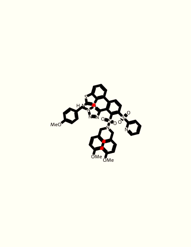 COc1ccc(CN(Cc2ccc(OC)cc2)S(=O)(=O)c2c(S(=O)(=O)c3ccccn3)ccc(-c3cccc4sc(N)nc34)c2-c2nnn(Cc3ccc(OC)cc3)n2)cc1